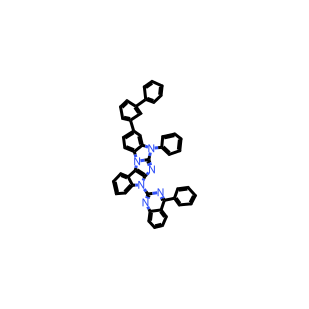 c1ccc(-c2cccc(-c3ccc4c(c3)n(-c3ccccc3)c3nc5c(c6ccccc6n5-c5nc(-c6ccccc6)c6ccccc6n5)n43)c2)cc1